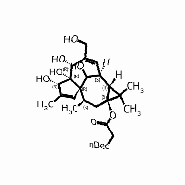 CCCCCCCCCCCC(=O)O[C@@]12C[C@@H](C)[C@]34C=C(C)[C@H](O)[C@@]3(O)[C@H](O)C(CO)=C[C@H](C4O)[C@@H]1C2(C)C